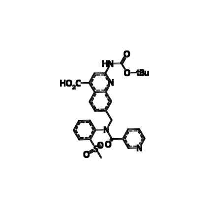 CC(C)(C)OC(=O)Nc1cc(C(=O)O)c2ccc(CN(C(=O)c3cccnc3)c3ccccc3S(C)(=O)=O)cc2n1